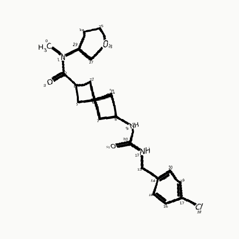 CN(C(=O)C1CC2(CC(NC(=O)NCc3ccc(Cl)cc3)C2)C1)C1CCOC1